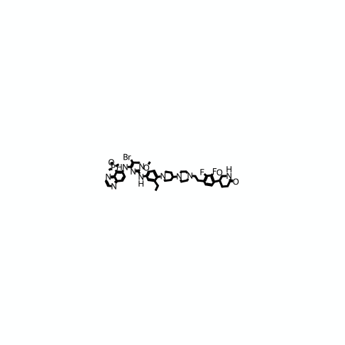 CCc1cc(Nc2ncc(Br)c(Nc3ccc4nccnc4c3P(C)(C)=O)n2)c(OC)cc1N1CCC(N2CCN(CCc3ccc(C4CCC(=O)NC4=O)c(F)c3F)CC2)CC1